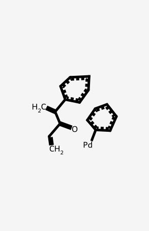 C=CC(=O)C(=C)c1ccccc1.[Pd][c]1ccccc1